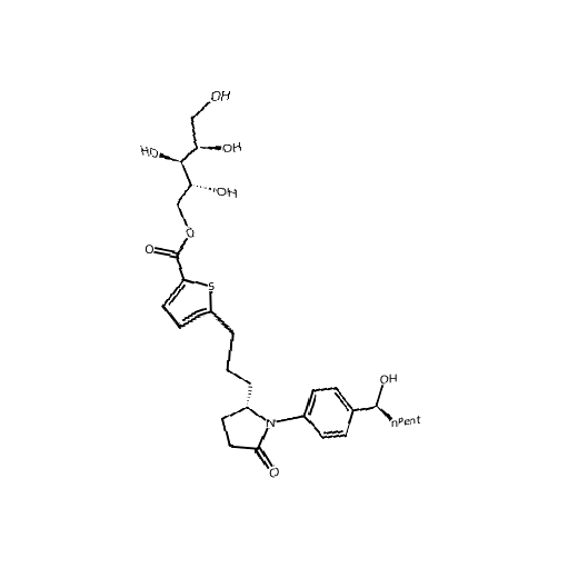 CCCCC[C@H](O)c1ccc(N2C(=O)CC[C@@H]2CCCc2ccc(C(=O)OC[C@@H](O)[C@@H](O)[C@H](O)CO)s2)cc1